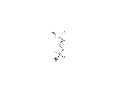 C=C[C@H](C)/C=C/CC(C)(C)O